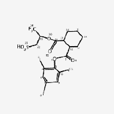 O=C(Oc1c(I)cc(I)cc1I)C1CCCCC1C(=O)OC(CS(=O)(=O)O)C(F)(F)F